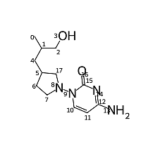 CC(CO)CC1CCN(n2ccc(N)nc2=O)C1